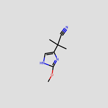 COc1nc(C(C)(C)C#N)c[nH]1